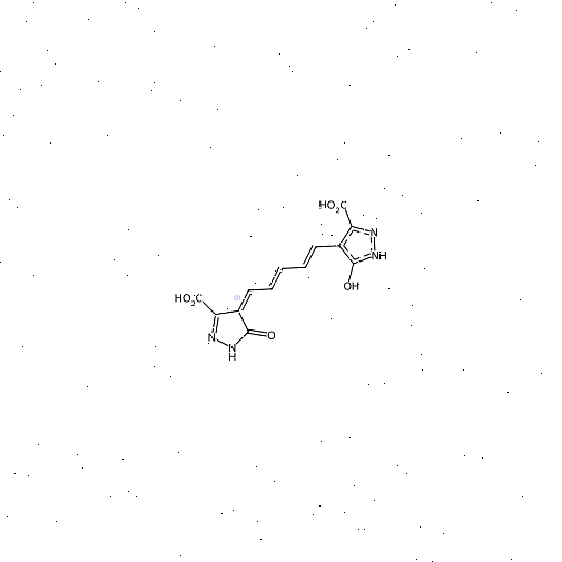 O=C(O)C1=NNC(=O)/C1=C\C=CC=Cc1c(C(=O)O)n[nH]c1O